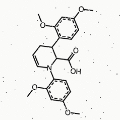 COc1ccc(C2CC=CN(c3ccc(OC)cc3OC)C2C(=O)O)c(OC)c1